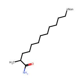 CCCCCCCCCCCCCCCCCCCC(C)C(N)=O